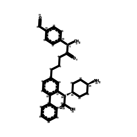 CN(C(=O)CCCc1ccc(-c2ccccc2)c(N(C(=O)O)[C@H]2CC[C@H](N)CC2)c1)c1ccc(C=O)cc1